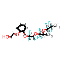 OCCOc1ccccc1OC(F)(F)C(F)OC(F)(F)C(F)(OC(F)(F)C(F)(F)C(F)(F)F)C(F)(F)F